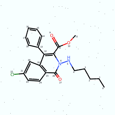 CCCCCNn1c(C(=O)OC)c(-c2ccccc2)c2cc(Cl)ccc2c1=O